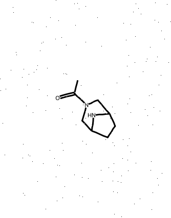 CC(=O)N1CC2CCC(C1)N2